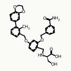 Cc1c(COc2ccc(CN[C@H](CO)C(=O)O)c(OCc3cccc(C(N)=O)c3)c2)cccc1-c1ccc2c(c1)OCCO2